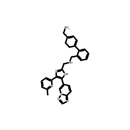 Cc1cccc(-c2nc(CNCc3ccccc3C3=CC=C(CN)CC3)[nH]c2-c2ccc3ncnn3c2)n1